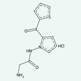 Cl.NCC(=O)Nn1cccc1C(=O)c1cccs1